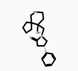 O=C1C[C@@H](c2ccccc2)CN1CC1(O)CCNCC12CCCC2